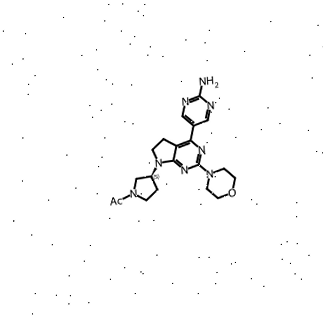 CC(=O)N1CC[C@H](N2CCc3c(-c4cnc(N)nc4)nc(N4CCOCC4)nc32)C1